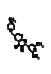 Cc1cc(-c2nc3ccc(CN4CCN(C)CC4)cc3c(=O)[nH]2)cc(C)n1